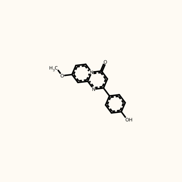 COc1ccn2c(=O)cc(-c3ccc(O)cc3)nc2c1